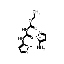 CCOC(=O)NC(=S)Nc1ccn[nH]1.Nc1ccn[nH]1